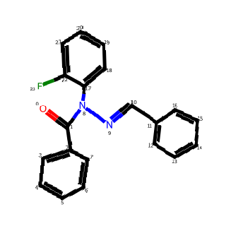 O=C(c1ccccc1)N(N=Cc1ccccc1)c1ccccc1F